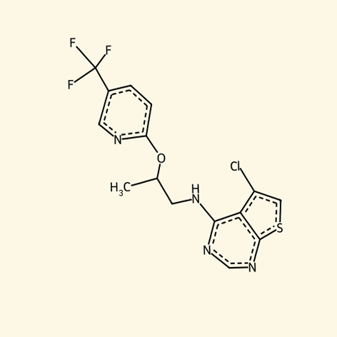 CC(CNc1ncnc2scc(Cl)c12)Oc1ccc(C(F)(F)F)cn1